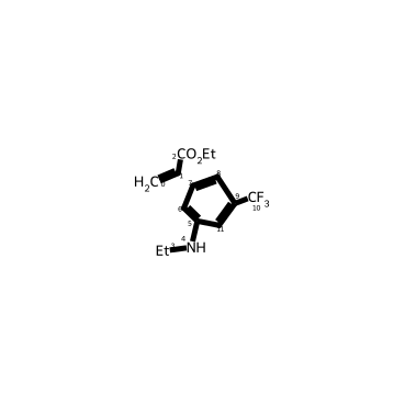 C=CC(=O)OCC.CCNc1cccc(C(F)(F)F)c1